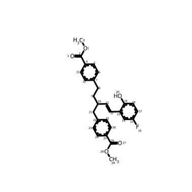 COC(=O)c1ccc(CCC(C=Cc2cc(F)ccc2O)Cc2ccc(C(=O)OC)cc2)cc1